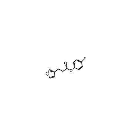 O=C(CCc1ccon1)Oc1ccc(F)cc1